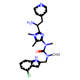 Cc1c(N(C)C(=O)N(C=O)Cc2cc3c(Cl)cccc3[nH]2)nc(C(N)Cc2ccncc2)n1C